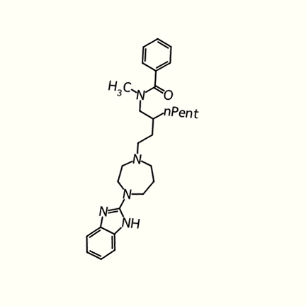 CCCCCC(CCN1CCCN(c2nc3ccccc3[nH]2)CC1)CN(C)C(=O)c1ccccc1